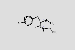 C/C(CN)=C(C)/C(Cc1ccc(F)cc1)=N\N